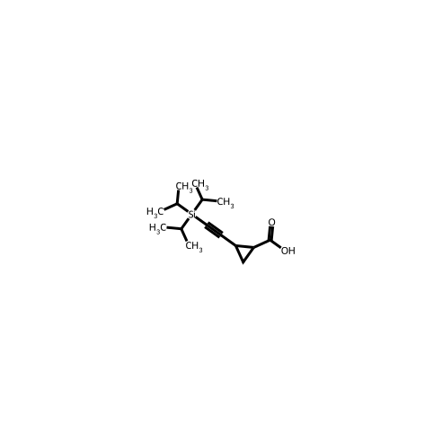 CC(C)[Si](C#CC1CC1C(=O)O)(C(C)C)C(C)C